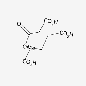 COC(=O)CC(=O)O.O=C(O)CCCC(=O)O